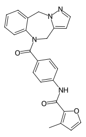 Cc1ccoc1C(=O)Nc1ccc(C(=O)N2Cc3ccnn3Cc3ccccc32)cc1